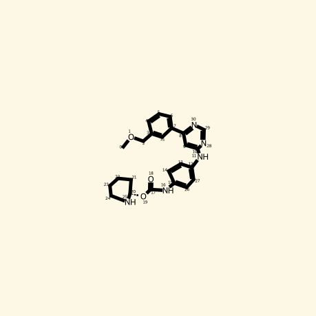 COCc1cccc(-c2cc(Nc3ccc(NC(=O)O[C@H]4CCCCN4)cc3)ncn2)c1